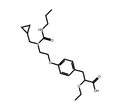 CCCNC(=O)N(CCOc1ccc(CC(OCC)C(=O)O)cc1)CC1CC1